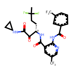 CC(F)(F)CC[C@H](NC(=O)c1cc(C(F)(F)F)cnc1NC(=O)c1cccc(C(F)(F)F)c1)C(=O)C(=O)NC1CC1